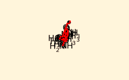 C[C@]12C=CC(=O)C=C1CCC1C2[C@@H](O)C[C@@]2(C)C1C[C@H]1O[C@@H](C3CCCCC3)O[C@]12C(=O)COC(=O)[C@H](CCCNC(=N)N)[N+](C)(C)Cc1cc(C(O)CNCCCCCCOCCCCc2ccccc2)ccc1OP(=O)(O)O